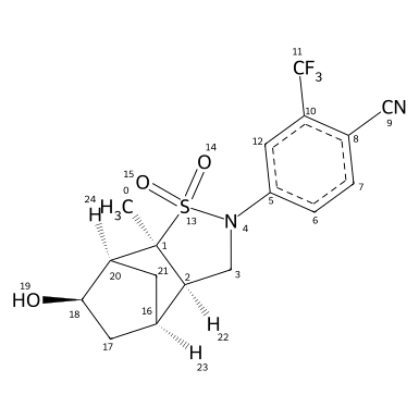 C[C@@]12[C@@H](CN(c3ccc(C#N)c(C(F)(F)F)c3)S1(=O)=O)[C@H]1C[C@@H](O)[C@@H]2C1